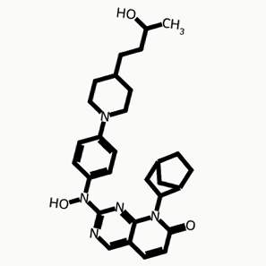 CC(O)CCC1CCN(c2ccc(N(O)c3ncc4ccc(=O)n(C5CC6CCC5C6)c4n3)cc2)CC1